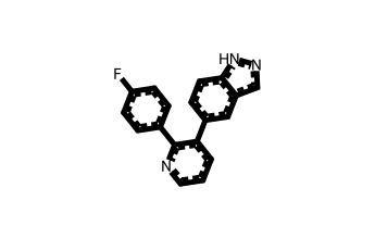 Fc1ccc(-c2ncccc2-c2ccc3[nH]ncc3c2)cc1